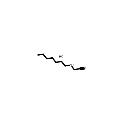 CCCCCCCNCC#N.Cl